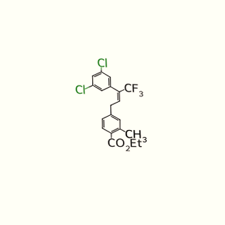 CCOC(=O)c1ccc(CC=C(c2cc(Cl)cc(Cl)c2)C(F)(F)F)cc1C